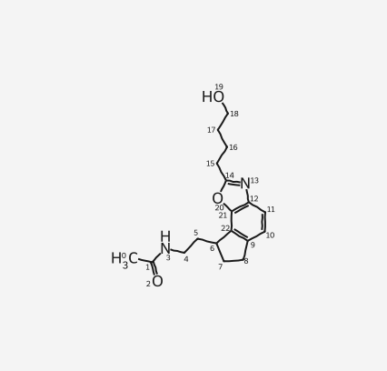 CC(=O)NCCC1CCc2ccc3nc(CCCCO)oc3c21